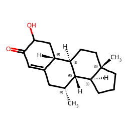 C[C@@H]1CC2=CC(=O)C(O)C[C@@H]2[C@H]2CC[C@]3(C)CCC[C@H]3[C@@H]21